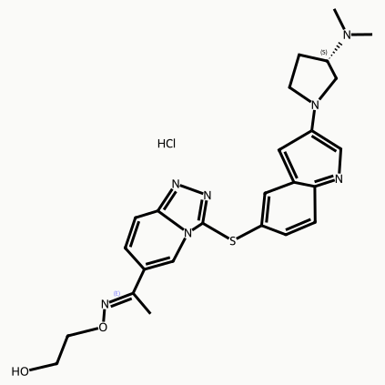 C/C(=N\OCCO)c1ccc2nnc(Sc3ccc4ncc(N5CC[C@H](N(C)C)C5)cc4c3)n2c1.Cl